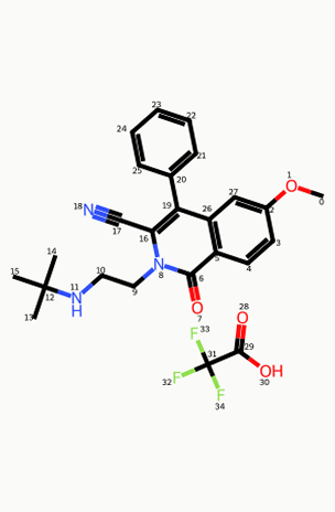 COc1ccc2c(=O)n(CCNC(C)(C)C)c(C#N)c(-c3ccccc3)c2c1.O=C(O)C(F)(F)F